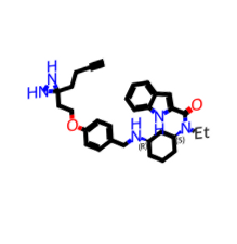 C#CCCC1(CCOc2ccc(CN[C@@H]3CCC[C@H](N(CC)C(=O)c4cc5ccccc5[nH]4)C3)cc2)NN1